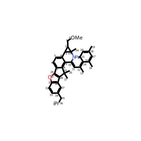 COCC1C2c3ccc4c(c3-c3cc(C)c5c(C)cc(C)cc5[n+]3C12C)C(C)(C)c1c-4oc2ccc(CC(C)C)cc12